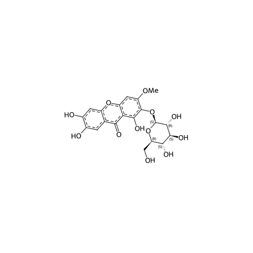 COc1cc2oc3cc(O)c(O)cc3c(=O)c2c(O)c1O[C@@H]1O[C@H](CO)[C@@H](O)[C@H](O)[C@H]1O